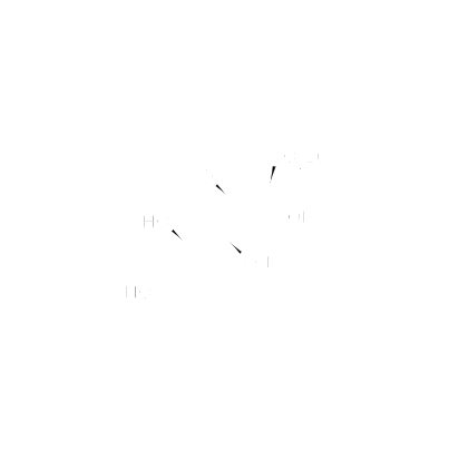 CCOC(=O)[C@@H](O)[C@H](O)[C@@H](O)[C@H](O)CO